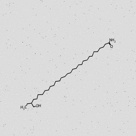 CCC(CO)CCCCCCCCCCCCCCCCCCCCCCCCCCCC(N)=O